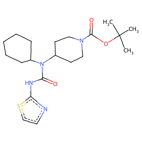 CC(C)(C)OC(=O)N1CCC(N(C(=O)Nc2nccs2)C2CCCCC2)CC1